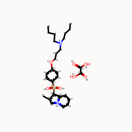 CCCCN(CCCC)CCCOc1ccc(S(=O)(=O)c2c(C)cn3ccccc23)cc1.O=C(O)C(=O)O